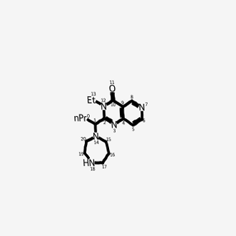 CCCC(c1nc2ccncc2c(=O)n1CC)N1CCCNCC1